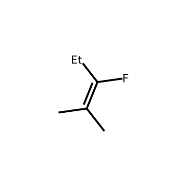 CCC(F)=C(C)C